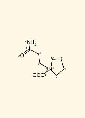 NC(=O)CC[N+]1(C(=O)[O-])CCCC1